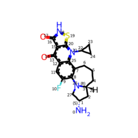 N[C@H]1C[C@H]2CCCc3c(c(F)cc4c(=O)c5c(=O)[nH]sc5n(C5CC5)c34)N2C1